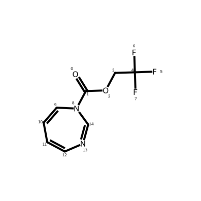 O=C(OCC(F)(F)F)N1C=CC=CN=C1